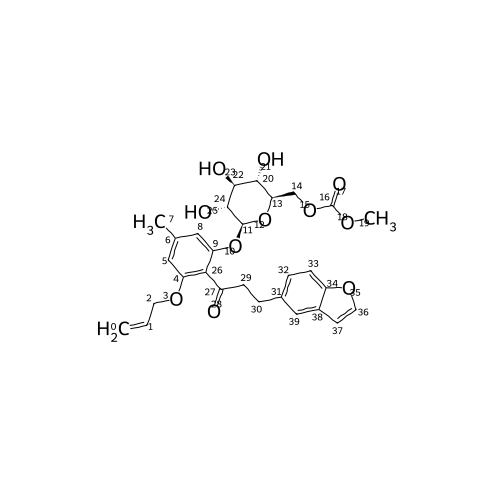 C=CCOc1cc(C)cc(O[C@@H]2O[C@H](COC(=O)OC)[C@@H](O)[C@H](O)[C@H]2O)c1C(=O)CCc1ccc2occc2c1